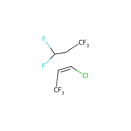 FC(F)(F)/C=C\Cl.FC(F)CC(F)(F)F